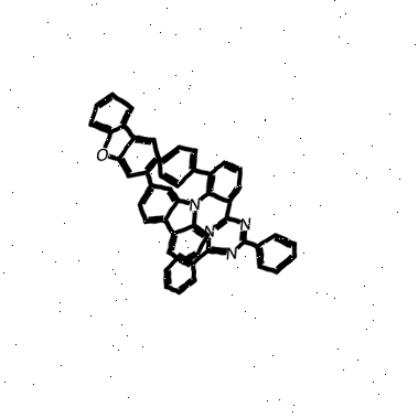 c1ccc(-c2nc(-c3ccccc3)nc(-c3cccc(-c4ccccc4)c3-n3c4ccccc4c4ccc(-c5ccc6c(c5)oc5ccccc56)cc43)n2)cc1